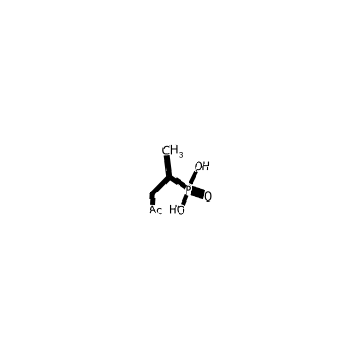 CC(=O)CC(C)P(=O)(O)O